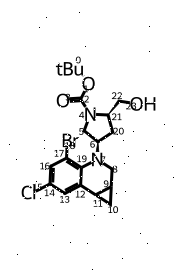 CC(C)(C)OC(=O)N1C[C@H](N2CC3CC3c3cc(Cl)cc(Br)c32)C[C@@H]1CO